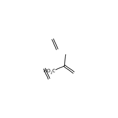 C=C.C=C.C=C(C)C(=O)O